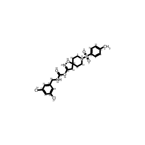 Cc1ccc(S(=O)(=O)N2CCC3(CC2)CC(OC(=O)NCc2cc(Cl)cc(Cl)c2)=NO3)cc1